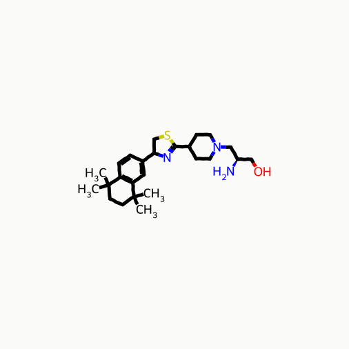 CC1(C)CCC(C)(C)c2cc(C3CSC(C4CCN(C[C@H](N)CO)CC4)=N3)ccc21